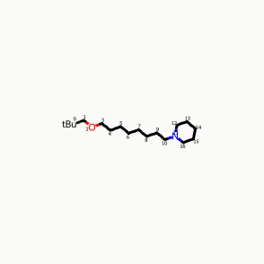 CC(C)(C)COCCCCCCCCN1CCCCC1